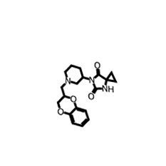 O=C1NC2(CC2)C(=O)N1C1CCCN(CC2COc3ccccc3O2)C1